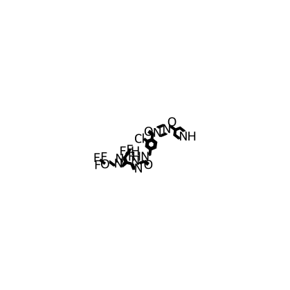 O=C(NCc1ccc(C(=O)N2CCN(C(=O)C3CCNCC3)CC2)c(Cl)c1)c1ncc(-c2cn(CCOC(F)(F)F)nc2C(F)(F)F)[nH]1